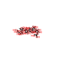 C[C@H](O[C@@H](O)CO)C(CO)OC(OC(C(CO)OOC1C(CO)OC(OC2C(CO)OC(OC3C(CO)OC(OC4C(CO)OC(OC5C(O)C5CO)C(O)C4O)C(O)C3O)C(O)C2O)C(O)C1O)C(O)[C@@H](C)O)C(O)O